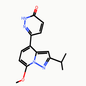 COc1ccc(-c2ccc(=O)[nH]n2)c2cc(C(C)C)nn12